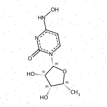 C[C@H]1O[C@@H](n2ccc(NO)nc2=O)[C@@H](O)[C@H]1O